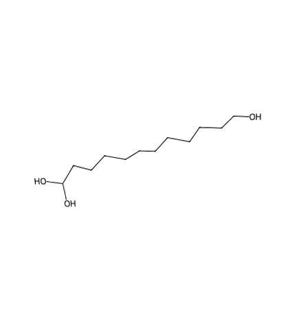 OCCCCCCCCCCCC(O)O